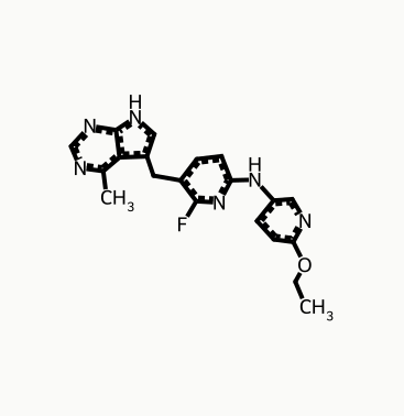 CCOc1ccc(Nc2ccc(Cc3c[nH]c4ncnc(C)c34)c(F)n2)cn1